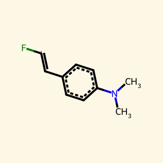 CN(C)c1ccc(C=[C]F)cc1